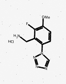 COc1ccc(-n2cnnn2)c(CN)c1F.Cl